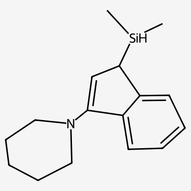 C[SiH](C)C1C=C(N2CCCCC2)c2ccccc21